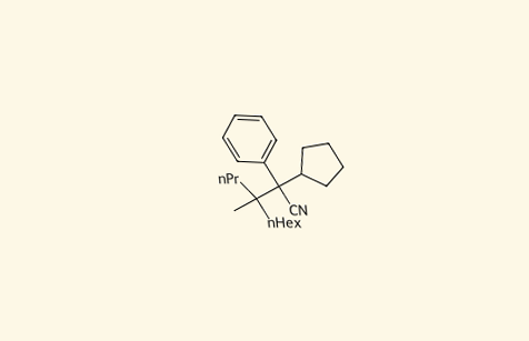 CCCCCCC(C)(CCC)C(C#N)(c1ccccc1)C1CCCC1